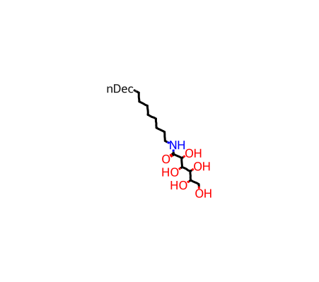 CCCCCCCCCCCCCCCCCCNC(=O)C(O)C(O)C(O)C(O)CO